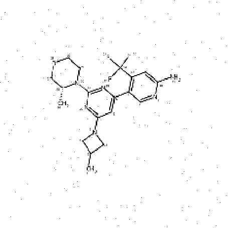 CC1CN(c2cc(-c3cnc(N)cc3C(F)(F)F)nc(N3CCOC[C@H]3C)n2)C1